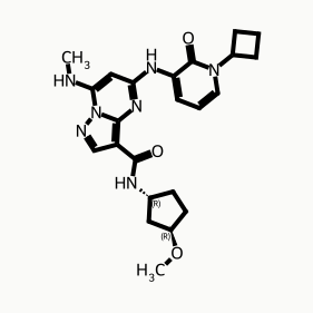 CNc1cc(Nc2cccn(C3CCC3)c2=O)nc2c(C(=O)N[C@@H]3CC[C@@H](OC)C3)cnn12